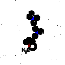 C=C1/C=C\C=C/Cc2cc(-c3ccc(-n4c5ccccc5c5cc(-c6ccc7c(c6)c6ccccc6n7-c6cccc7ccccc67)ccc54)cc3)c3ccc4ccccc4c3c2-c2ccccc21